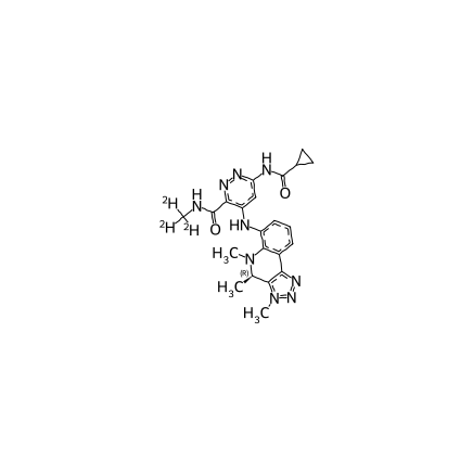 [2H]C([2H])([2H])NC(=O)c1nnc(NC(=O)C2CC2)cc1Nc1cccc2c1N(C)[C@H](C)c1c-2nnn1C